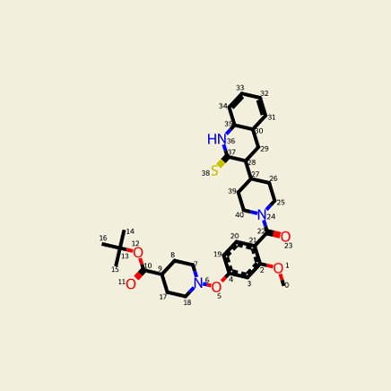 COc1cc(ON2CCC(C(=O)OC(C)(C)C)CC2)ccc1C(=O)N1CCC(C2CC3C=CC=CC3NC2=S)CC1